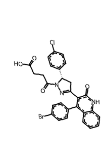 O=C(O)CCC(=O)N1N=C(c2c(-c3ccc(Br)cc3)c3ccccc3[nH]c2=O)C[C@H]1c1ccc(Cl)cc1